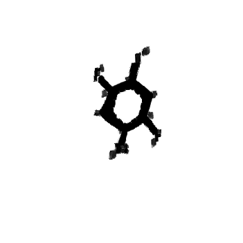 CCc1cc(F)c(I)cc1F